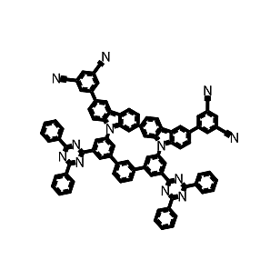 N#Cc1cc(C#N)cc(-c2ccc3c(c2)c2ccccc2n3-c2cc(-c3cccc(-c4cc(-c5nc(-c6ccccc6)nc(-c6ccccc6)n5)cc(-n5c6ccccc6c6cc(-c7cc(C#N)cc(C#N)c7)ccc65)c4)c3)cc(-c3nc(-c4ccccc4)nc(-c4ccccc4)n3)c2)c1